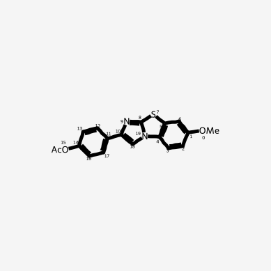 COc1ccc2c(c1)sc1nc(-c3ccc(OC(C)=O)cc3)cn12